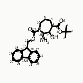 CC(C)(C)OC(=O)C1CCCN(C(=O)OCC2c3ccccc3-c3ccccc32)C(N)C1O